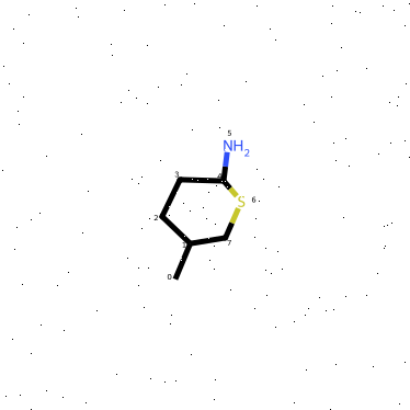 CC1CCC(N)SC1